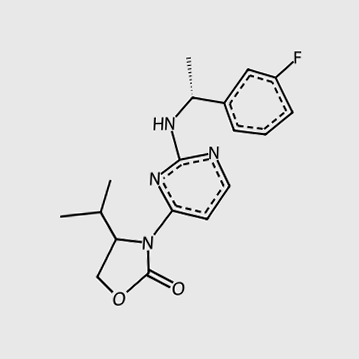 CC(C)C1COC(=O)N1c1ccnc(N[C@H](C)c2cccc(F)c2)n1